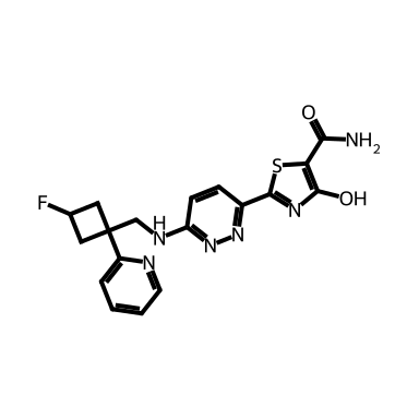 NC(=O)c1sc(-c2ccc(NCC3(c4ccccn4)CC(F)C3)nn2)nc1O